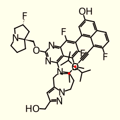 COc1c(F)c(-c2cc(O)cc3ccc(F)c(C#C[Si](C(C)C)(C(C)C)C(C)C)c23)c(F)c2nc(OC[C@@]34CCCN3C[C@H](F)C4)nc(N3CCCn4nc(CO)cc4C3)c12